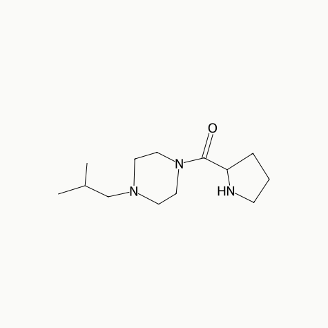 CC(C)CN1CCN(C(=O)C2CCCN2)CC1